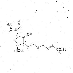 C=CC(OCC)C1C[C@H](CCCCCCCC)[C@@H](CCCCC=CC(=O)OCC)C1=O